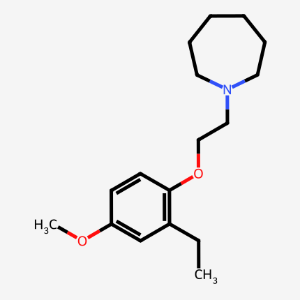 CCc1cc(OC)ccc1OCCN1CCCCCC1